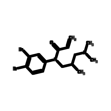 C=CC(=O)N(CC(C)CN(C)C)c1ccc(Br)c(Br)c1